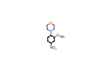 CC(C)Oc1cc([N+](=O)[O-])ccc1N1CCOCC1